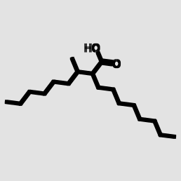 CCCCCCCCC(C(=O)O)C(C)CCCCCC